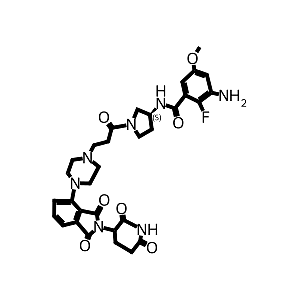 COc1cc(N)c(F)c(C(=O)N[C@H]2CCN(C(=O)CCN3CCN(c4cccc5c4C(=O)N(C4CCC(=O)NC4=O)C5=O)CC3)C2)c1